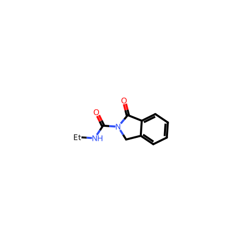 [CH2]CNC(=O)N1Cc2ccccc2C1=O